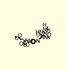 COC(=O)CC[C@H](NC(=O)c1ccc(N(C)CCc2c(NC(C)=O)nc(NC(C)=O)[nH]c2=O)cc1)C(=O)OC